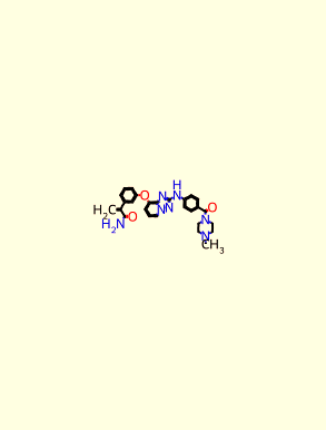 C=C(C(N)=O)c1cccc(Oc2cccn3nc(Nc4ccc(C(=O)N5CCN(C)CC5)cc4)nc23)c1